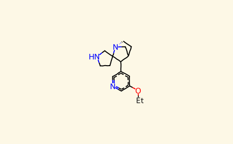 CCOc1cncc(C2C3CC[N@](C3)C23CCNC3)c1